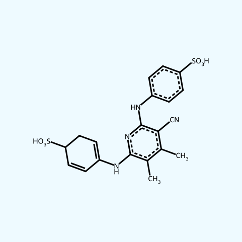 Cc1c(NC2=CCC(S(=O)(=O)O)C=C2)nc(Nc2ccc(S(=O)(=O)O)cc2)c(C#N)c1C